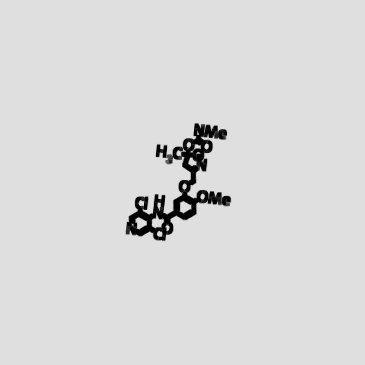 CNC(=O)OC1(C)CC(COc2cc(C(=O)Nc3c(Cl)cncc3Cl)ccc2OC)=NO1